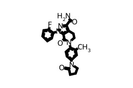 Cc1cc(N2CCCC2=O)ccc1N1CCc2c(C(N)=O)nn(-c3ccccc3F)c2C1=O